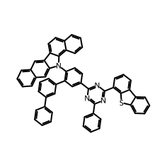 c1ccc(-c2cccc(-c3cc(-c4nc(-c5ccccc5)nc(-c5cccc6c5sc5ccccc56)n4)ccc3-n3c4cc5ccccc5cc4c4ccc5ccccc5c43)c2)cc1